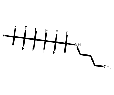 CCCCNC(F)(F)C(F)(F)C(F)(F)C(F)(F)C(F)(F)C(F)(F)F